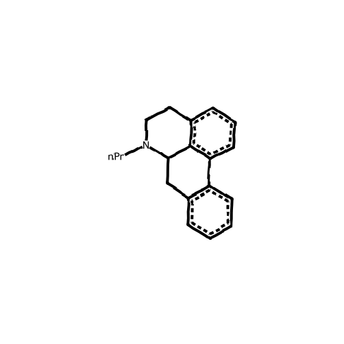 CCCN1CCc2cccc3c2C1Cc1ccccc1-3